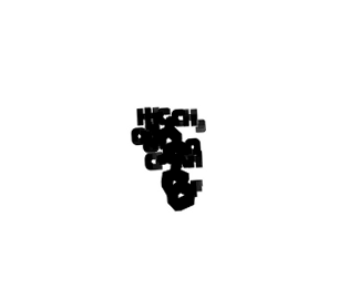 CC(C)C(Cc1cc(Cl)c(-c2ccc3cccc(F)c3c2)[nH]c1=O)c1noc(=O)[nH]1